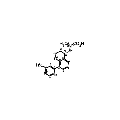 Cc1cc(-c2cccc3c2OCC[C@@H]3CN(C)C(=O)O)ccn1